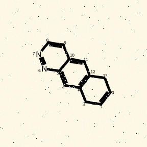 C1=CCc2cc3nnccc3cc2C1